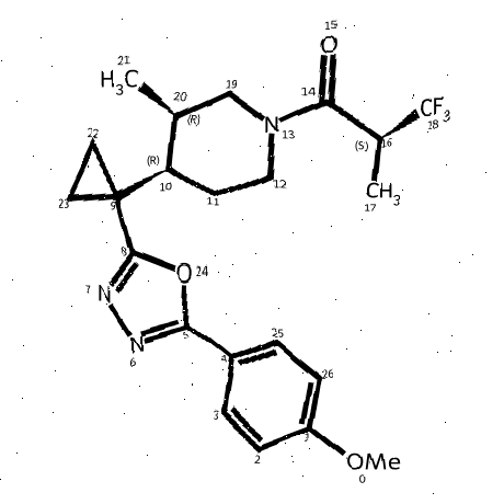 COc1ccc(-c2nnc(C3([C@@H]4CCN(C(=O)[C@H](C)C(F)(F)F)C[C@@H]4C)CC3)o2)cc1